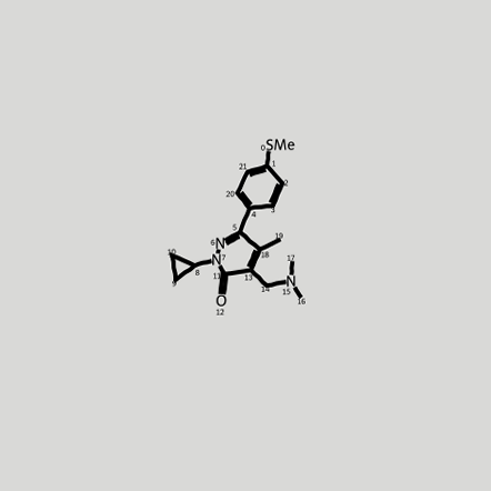 CSc1ccc(-c2nn(C3CC3)c(=O)c(CN(C)C)c2C)cc1